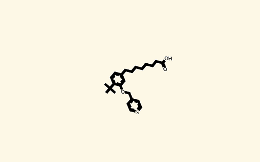 CC(C)(C)c1ccc(CCCCCCCC(=O)O)cc1OCc1ccncc1